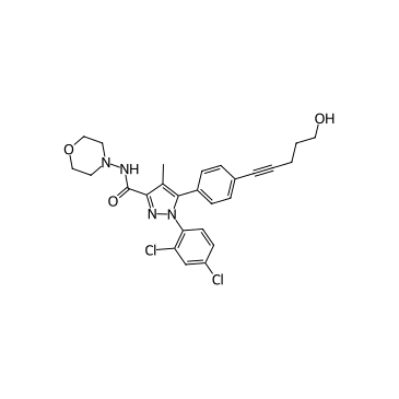 Cc1c(C(=O)NN2CCOCC2)nn(-c2ccc(Cl)cc2Cl)c1-c1ccc(C#CCCCO)cc1